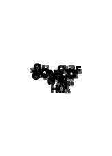 Cc1c(C(=O)Nc2ccc(S(C)(=O)=O)cc2)cn([C@H](C)[C@H](C)O)c1-c1ccc(F)cc1Cl